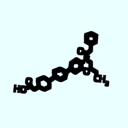 CCC1CN(C(=O)Cc2ccccc2)c2ccc(-c3ccc(C4CCC(CC(=O)O)CC4)cc3)cc2O1